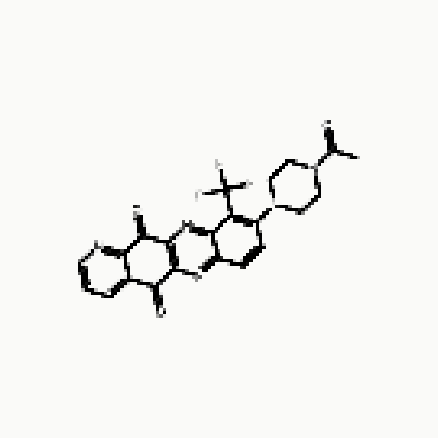 CC(=O)N1CCN(c2ccc3nc4c(nc3c2C(F)(F)F)C(=O)c2ncccc2C4=O)CC1